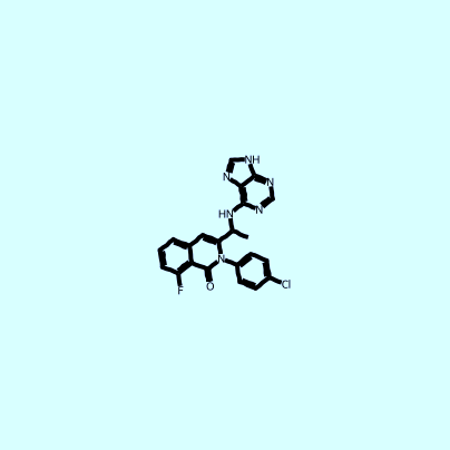 CC(Nc1ncnc2[nH]cnc12)c1cc2cccc(F)c2c(=O)n1-c1ccc(Cl)cc1